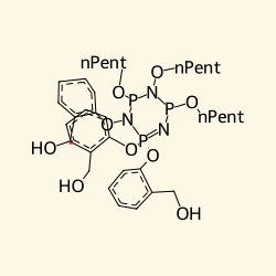 CCCCCON1P(OCCCCC)N=P(Oc2ccccc2CO)(Oc2ccccc2CO)N(Oc2ccccc2CO)P1OCCCCC